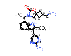 C[C@@H](c1cccc2c(-c3cnc(N)nc3)c(C(=O)O)[nH]c12)N1CC2(CC(CN)C2)OC1=O